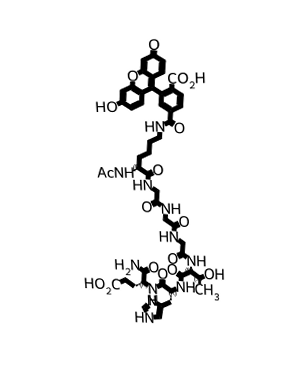 CC(=O)N[C@H](CCCCNC(=O)c1ccc(C(=O)O)c(-c2c3ccc(=O)cc-3oc3cc(O)ccc23)c1)C(=O)NCC(=O)NCC(=O)NCC(=O)N[C@@H](C(=O)N[C@H](Cc1c[nH]cn1)C(=O)N[C@H](CCC(=O)O)C(N)=O)[C@H](C)O